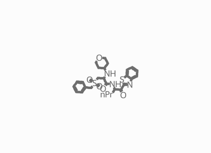 CCCC(NC(=O)C(CS(=O)(=O)Cc1ccccc1)NC1CCOCC1)C(=O)c1nc2ccccc2s1